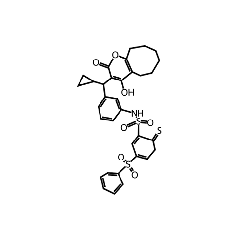 O=c1oc2c(c(O)c1C(c1cccc(NS(=O)(=O)C3=CC(S(=O)(=O)c4ccccc4)=CCC3=S)c1)C1CC1)CCCCCC2